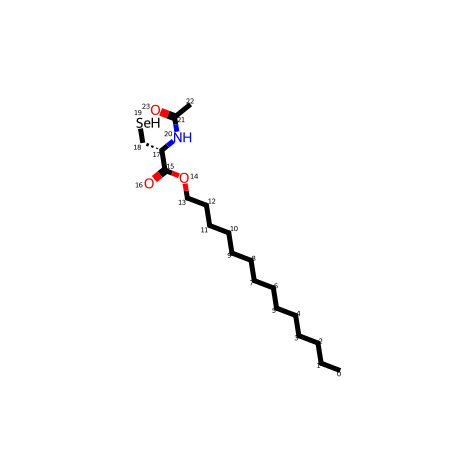 CCCCCCCCCCCCCCOC(=O)[C@H](C[SeH])NC(C)=O